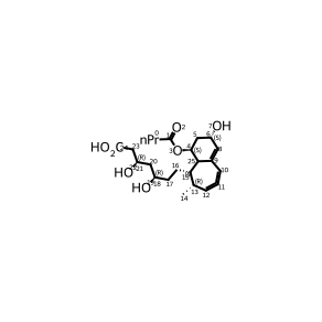 CCCC(=O)O[C@H]1C[C@H](O)C=C2C=C=C[C@H](C)[C@H](CC[C@@H](O)C[C@@H](O)CC(=O)O)C21